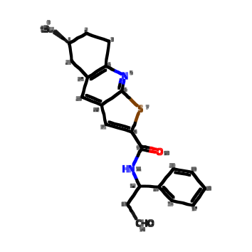 CC(C)(C)[C@H]1CCc2nc3sc(C(=O)NC(CC=O)c4ccccc4)cc3cc2C1